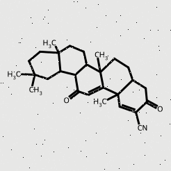 CC1(C)CCC2(C)CCC3C(C(=O)C=C4C5(C)C=C(C#N)C(=O)CC5CCC43C)C2C1